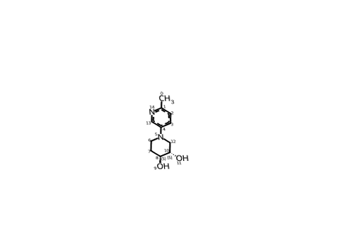 Cc1ccc(N2CC[C@H](O)[C@@H](O)C2)cn1